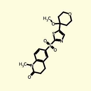 COC1(c2cnc(S(=O)(=O)c3ccc4c(c3)CCC(=O)N4C)s2)CCOCC1